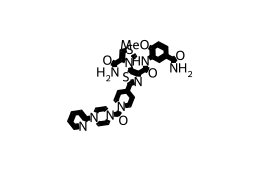 COc1ccc(C(N)=O)cc1NC(=O)c1nc(C2CCN(C(=O)N3CCN(c4ccccn4)CC3)CC2)sc1N1CSC=C1C(N)=O